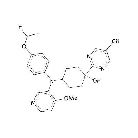 COc1ccncc1N(c1ccc(OC(F)F)cc1)C1CCC(O)(c2ncc(C#N)cn2)CC1